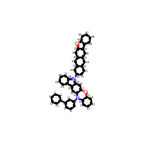 c1ccc(-c2cccc(N3c4ccccc4Oc4cc5c(cc43)c3ccccc3n5-c3ccc4cc5cc6c(cc5cc4c3)oc3ccccc36)c2)cc1